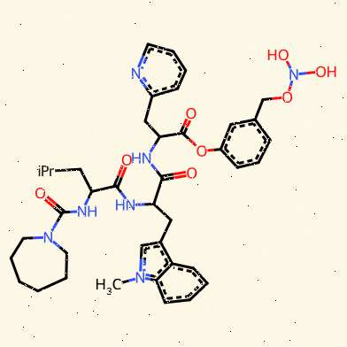 CC(C)CC(NC(=O)N1CCCCCC1)C(=O)NC(Cc1cn(C)c2ccccc12)C(=O)NC(Cc1ccccn1)C(=O)Oc1cccc(CON(O)O)c1